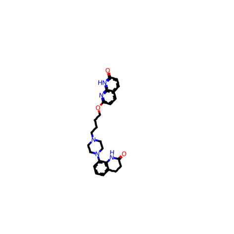 O=C1CCc2cccc(N3CCN(CCCCOc4ccc5ccc(=O)[nH]c5n4)CC3)c2N1